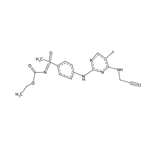 C#CCNc1nc(Nc2ccc(S(C)(=O)=NC(=O)OCC)cc2)ncc1I